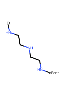 CCCCCNCCNCCNCC